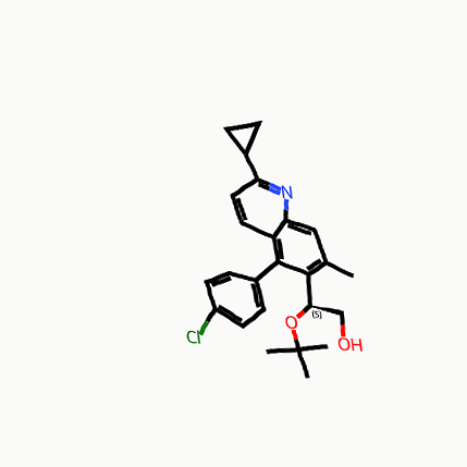 Cc1cc2nc(C3CC3)ccc2c(-c2ccc(Cl)cc2)c1[C@@H](CO)OC(C)(C)C